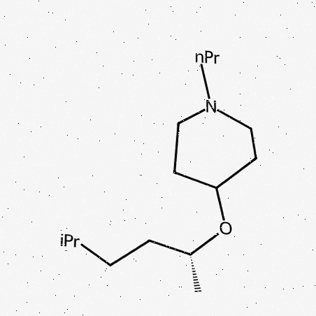 CCCN1CCC(O[C@H](C)CCC(C)C)CC1